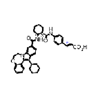 O=C(O)/C=C/c1ccc(NC(=O)[C@@H]2CCCC[C@H]2NC(=O)c2ccc3c(C4CCCCC4)c4n(c3c2)CCOc2ccccc2-4)cc1